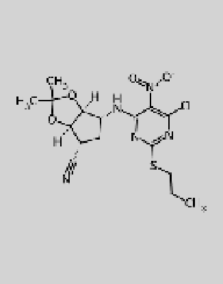 CCCSc1nc(Cl)c([N+](=O)[O-])c(N[C@@H]2C[C@H](C#N)[C@H]3OC(C)(C)O[C@H]32)n1